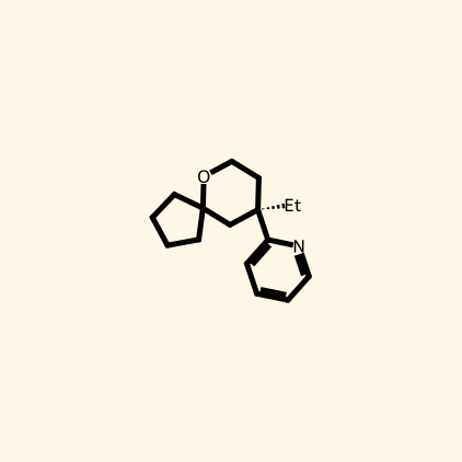 CC[C@@]1(c2ccccn2)CCOC2(CCCC2)C1